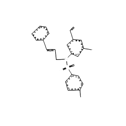 Cc1ccc(S(=O)(=O)N(CC=Cc2ccccc2)c2cc(F)cc(C=O)c2)cc1